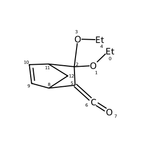 CCOC1(OCC)C(=C=O)C2C=CC1C2